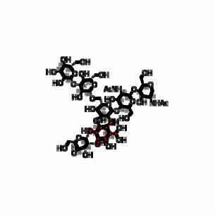 CC(=O)N[C@@H]1[C@@H](O[C@H]2[C@H](O)[C@@H](NC(C)=O)CO[C@@H]2CO)O[C@@H](CO)[C@@H](O[C@H]2O[C@@H](CO[C@H]3O[C@@H](CO)[C@H](O)[C@@H](O[C@H]4O[C@@H](CO)[C@H](O)[C@@H](O)[C@@H]4O)[C@@H]3O)[C@H](O)[C@H](O[C@H]3O[C@@H](CO)[C@H](O)[C@@H](O)[C@H]3O[C@H]3O[C@@H](CO)[C@H](O)[C@@H](O)[C@H]3O[C@H]3O[C@@H](CO)[C@H](O)[C@@H](O)[C@@H]3O)[C@@H]2O)[C@H]1O